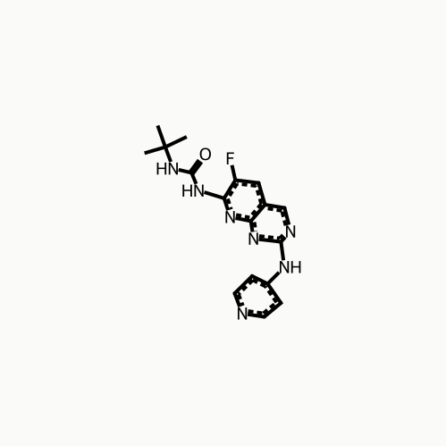 CC(C)(C)NC(=O)Nc1nc2nc(Nc3ccncc3)ncc2cc1F